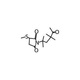 CSC1CC(=O)N(C(C)(C)CC(C)(C)C(C)=O)C1=O